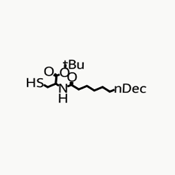 CCCCCCCCCCCCCCCC(=O)NC(CS)C(=O)OC(C)(C)C